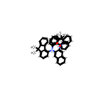 CC1(C)c2ccccc2-c2c(N(c3cc4ccccc4cc3-n3c4ccccc4c4ccccc43)c3cccc4c3-c3ccccc3C4(C)C)cccc21